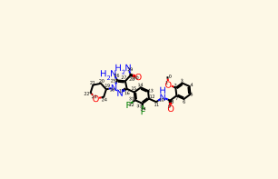 COc1ccccc1C(=O)NCc1ccc(-c2nn(C3CCCOC3)c(N)c2C(N)=O)c(F)c1F